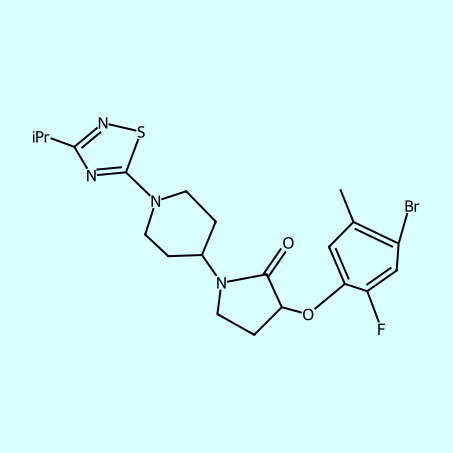 Cc1cc(OC2CCN(C3CCN(c4nc(C(C)C)ns4)CC3)C2=O)c(F)cc1Br